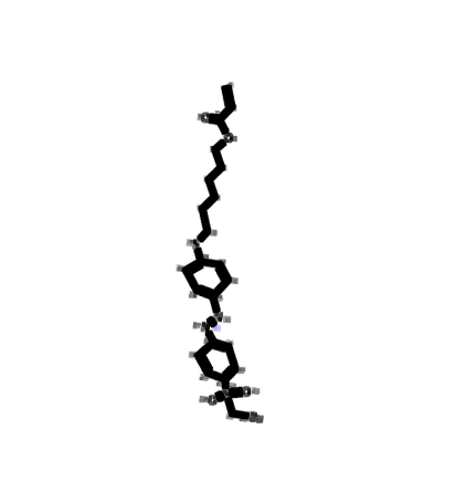 C=CC(=O)OCCCCCCSc1ccc(/N=N/c2ccc(S(=O)(=O)CC(C)CC)cc2)cc1